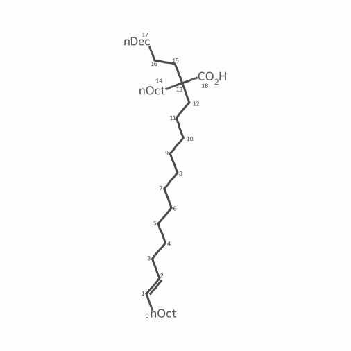 CCCCCCCCC=CCCCCCCCCCCC(CCCCCCCC)(CCCCCCCCCCCC)C(=O)O